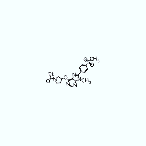 CCC(=O)N1CCC(Oc2ncnc3c2nc(-c2ccc(S(C)(=O)=O)cc2)n3C)C1